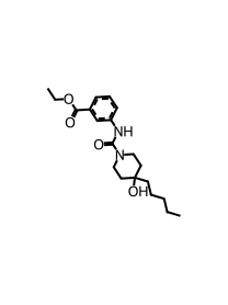 CCCCCC1(O)CCN(C(=O)Nc2cccc(C(=O)OCC)c2)CC1